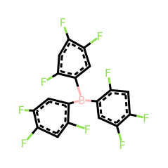 Fc1cc(F)c(B(c2cc(F)c(F)cc2F)c2cc(F)c(F)cc2F)cc1F